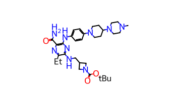 CCc1nc(C(N)=O)c(Nc2ccc(N3CCC(N4CCN(C)CC4)CC3)cc2)nc1NCC1CN(C(=O)OC(C)(C)C)C1